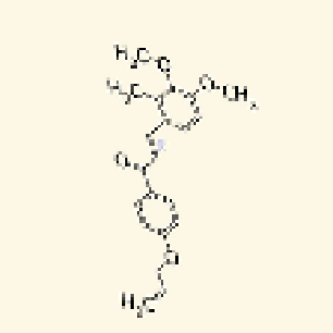 C=CCOc1ccc(C(=O)/C=C/c2ccc(OC)c(OC)c2C)cc1